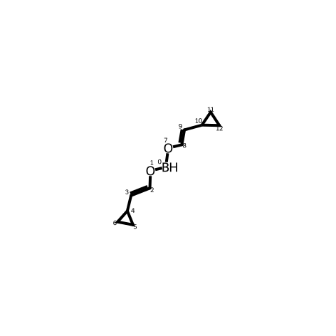 B(OC=CC1CC1)OC=CC1CC1